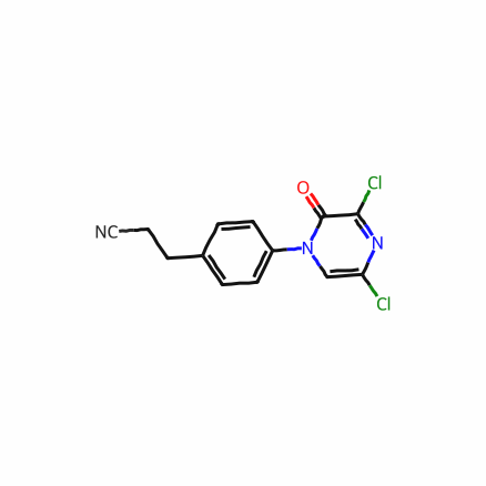 N#CCCc1ccc(-n2cc(Cl)nc(Cl)c2=O)cc1